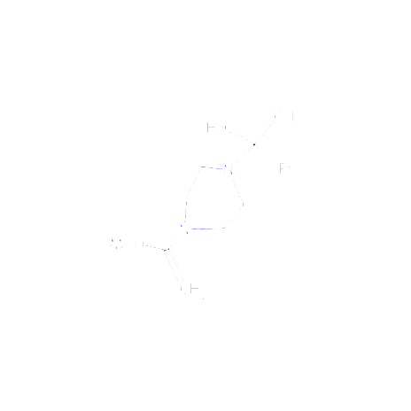 C=C(OC)N1CCN(C(C)(C)C(C)C)CC1